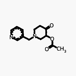 CC(=O)OC1CN(Cc2cccnc2)CCC1=O